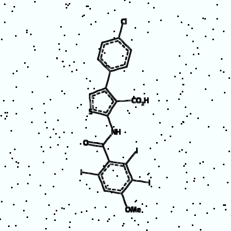 COc1cc(I)c(C(=O)Nc2scc(-c3ccc(Cl)cc3)c2C(=O)O)c(I)c1I